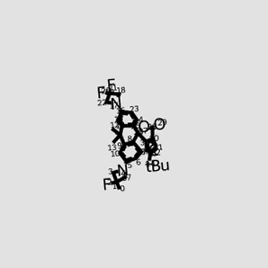 CC1(F)CN(c2ccc3c(c2)C(C)(C)c2cc(N4CC(F)(F)C4)ccc2C32OC(=O)c3ccc(C(C)(C)C)cc32)C1